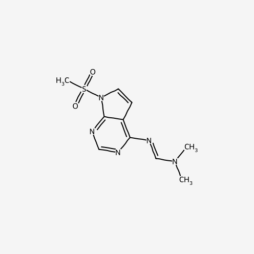 CN(C)/C=N/c1ncnc2c1ccn2S(C)(=O)=O